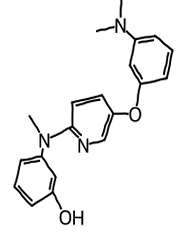 CN(C)c1cccc(Oc2ccc(N(C)c3cccc(O)c3)nc2)c1